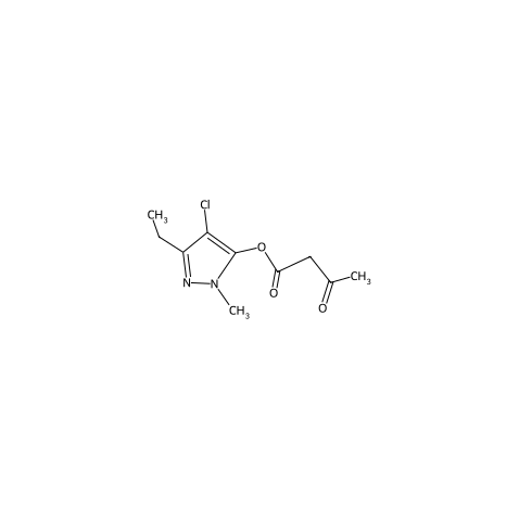 CCc1nn(C)c(OC(=O)CC(C)=O)c1Cl